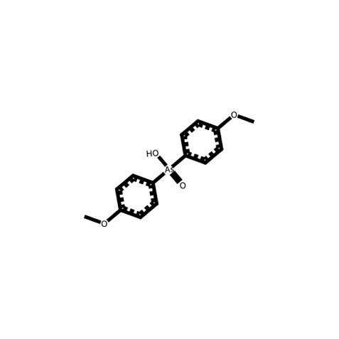 COc1ccc([As](=O)(O)c2ccc(OC)cc2)cc1